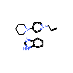 C=CC[n+]1ccc(N2CCCCC2)cc1.c1ccc2[nH]cnc2c1